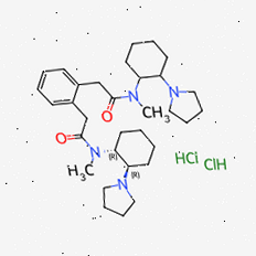 CN(C(=O)Cc1ccccc1CC(=O)N(C)[C@@H]1CCCC[C@H]1N1CCCC1)C1CCCCC1N1CCCC1.Cl.Cl